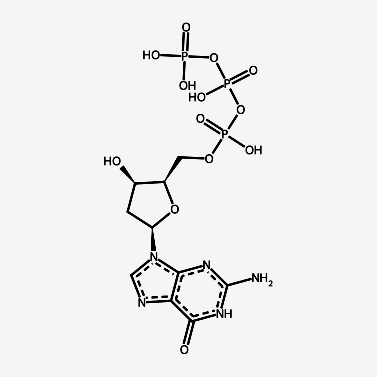 Nc1nc2c(ncn2[C@H]2C[C@@H](O)[C@@H](COP(=O)(O)OP(=O)(O)OP(=O)(O)O)O2)c(=O)[nH]1